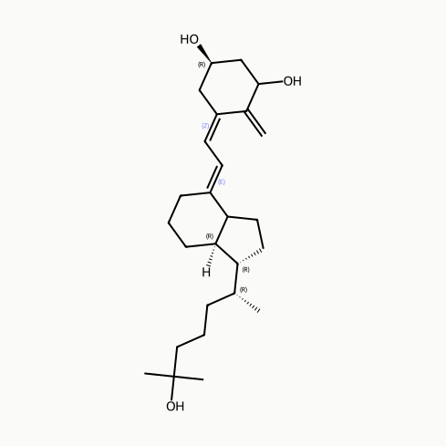 C=C1/C(=C\C=C2/CCC[C@H]3C2CC[C@@H]3[C@H](C)CCCC(C)(C)O)C[C@@H](O)CC1O